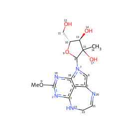 COc1nc2c3c(cn(C4O[C@H](CO)[C@@H](O)C4(C)O)c3n1)N=CCN2